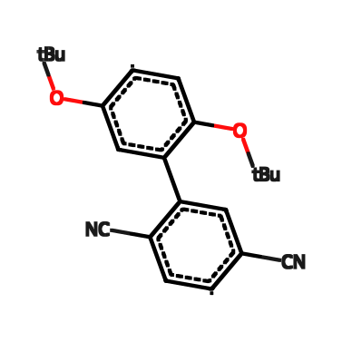 CC(C)(C)Oc1[c]cc(OC(C)(C)C)c(-c2cc(C#N)[c]cc2C#N)c1